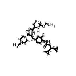 CCOC(=O)NC(CF)C(=O)NC(Cc1ccc(NC(=O)CC(C2CC2)C2CC2)c(F)c1)C(=O)N1CCN(C)CC1